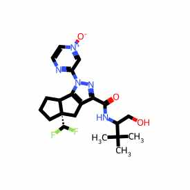 CC(C)(C)C(CO)NC(=O)c1nn(-c2c[n+]([O-])ccn2)c2c1C[C@@]1(C(F)F)CCCC21